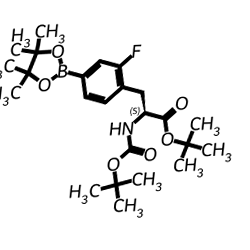 CC(C)(C)OC(=O)N[C@@H](Cc1ccc(B2OC(C)(C)C(C)(C)O2)cc1F)C(=O)OC(C)(C)C